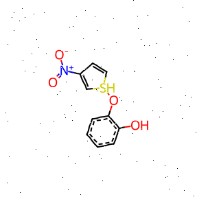 O=[N+]([O-])C1=C[SH](Oc2ccccc2O)C=C1